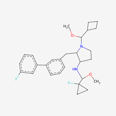 COC(C1CCC1)N1CCC(NC(OC)C2(F)CC2)C1Cc1cccc(-c2cccc(F)c2)c1